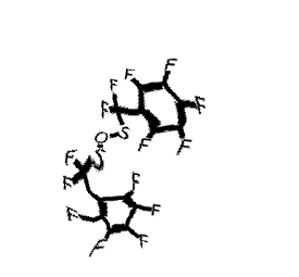 Fc1c(F)c(F)c(C(F)(F)SOSC(F)(F)c2c(F)c(F)c(F)c(F)c2F)c(F)c1F